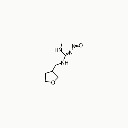 CN/C(=N\N=O)NCC1CCOC1